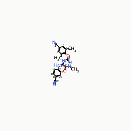 Cc1cc(C#N)cc(C)c1Oc1nc(Nc2ccc(C#N)cc2)c(=O)n(C)n1